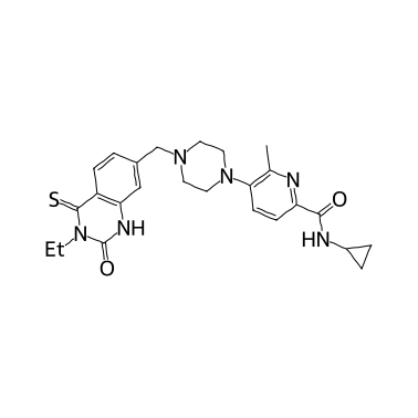 CCn1c(=O)[nH]c2cc(CN3CCN(c4ccc(C(=O)NC5CC5)nc4C)CC3)ccc2c1=S